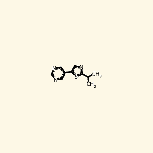 CC(C)c1ncc(-c2cncnc2)s1